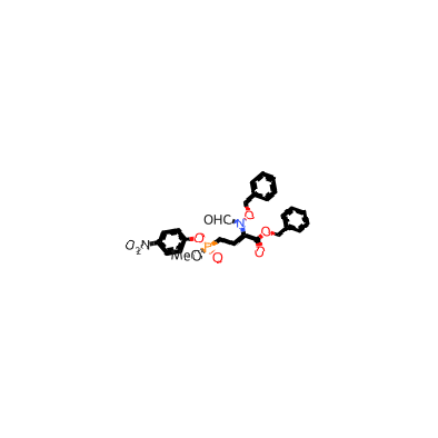 COP(=O)(CCC(C(=O)OCc1ccccc1)N(C=O)OCc1ccccc1)Oc1ccc([N+](=O)[O-])cc1